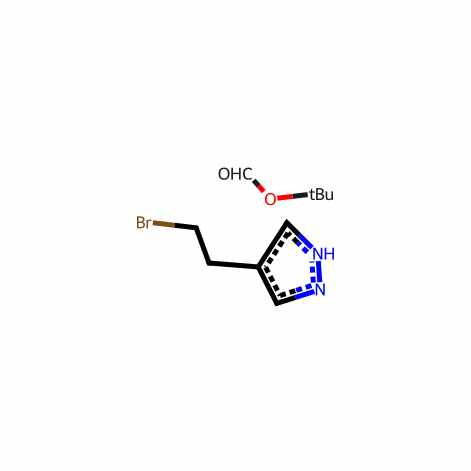 BrCCc1cn[nH]c1.CC(C)(C)OC=O